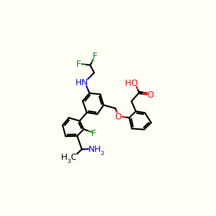 CC(N)c1cccc(-c2cc(COc3ccccc3CC(=O)O)cc(NCC(F)F)c2)c1F